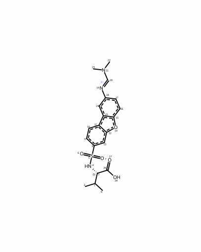 CC(C)[C@H](NS(=O)(=O)c1ccc2c(c1)oc1ccc(/N=C/N(C)C)cc12)C(=O)O